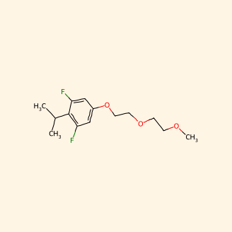 COCCOCCOc1cc(F)c(C(C)C)c(F)c1